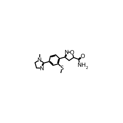 CSc1cc(C2=NCCN2C)ccc1C1=NOC(C(N)=O)C1